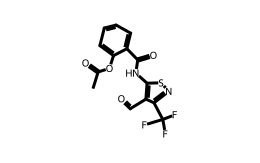 CC(=O)Oc1ccccc1C(=O)Nc1snc(C(F)(F)F)c1C=O